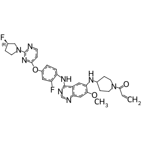 C=CC(=O)N1CCC(Nc2cc3c(Nc4ccc(Oc5ccnc(N6CC[C@@H](F)C6)n5)cc4F)ncnc3cc2OC)CC1